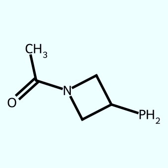 CC(=O)N1CC(P)C1